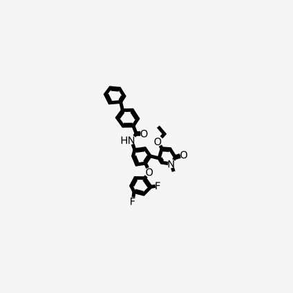 CCOc1cc(=O)n(C)cc1-c1cc(NC(=O)c2ccc(-c3ccccc3)cc2)ccc1Oc1ccc(F)cc1F